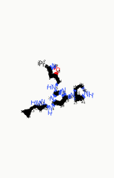 CC(C)c1cc(CNc2nc(Nc3cc(C4CC4)[nH]n3)cc(N3CC4CC3CN4)n2)on1